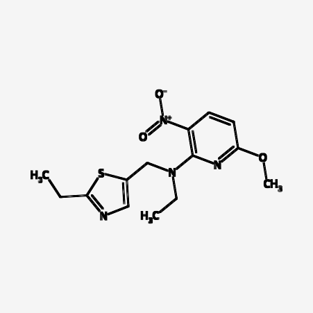 CCc1ncc(CN(CC)c2nc(OC)ccc2[N+](=O)[O-])s1